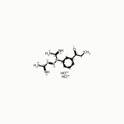 CCC(=O)c1cccc(N(N=NC(=N)N)C(=N)N)c1.Cl.Cl